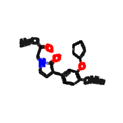 COC(=O)CN1CCC(c2ccc(OC)c(OC3CCCC3)c2)C1=O